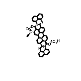 C#COS(=O)OC1=c2ccc3c4ccc5c6c(ccc(c7ccc(c2c37)C2=Nc3cccc7cccc(c37)N21)c64)=C(OS(=O)(=O)O)N1C5=Nc2cccc3cccc1c23